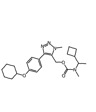 CC(C1CCC1)N(C)C(=O)OCc1c(-c2ccc(OC3CCCCC3)cc2)nnn1C